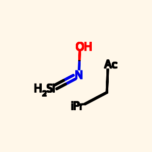 CC(=O)CC(C)C.ON=[SiH2]